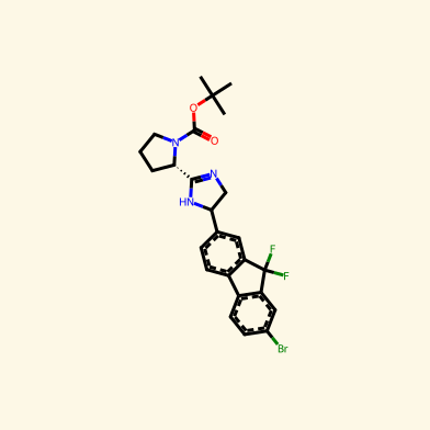 CC(C)(C)OC(=O)N1CCC[C@H]1C1=NCC(c2ccc3c(c2)C(F)(F)c2cc(Br)ccc2-3)N1